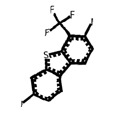 FC(F)(F)c1c(I)ccc2c1sc1cc(I)ccc12